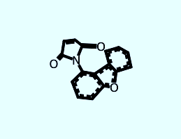 O=C1C=CC(=O)N1c1cccc2oc3ccccc3c12